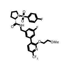 COCCOc1nc(C(F)(F)F)ccc1-c1cc(F)cc(CNC(=O)[C@@H]2CCCN2S(=O)(=O)c2ccc(F)cc2)c1